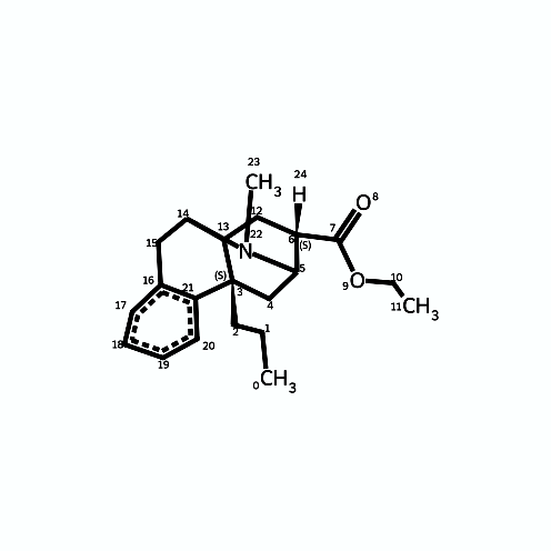 CCC[C@]12CC3[C@@H](C(=O)OCC)CC1C(Cc1ccccc12)N3C